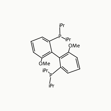 COc1cccc(P(C(C)C)C(C)C)c1-c1c(OC)cccc1P(C(C)C)C(C)C